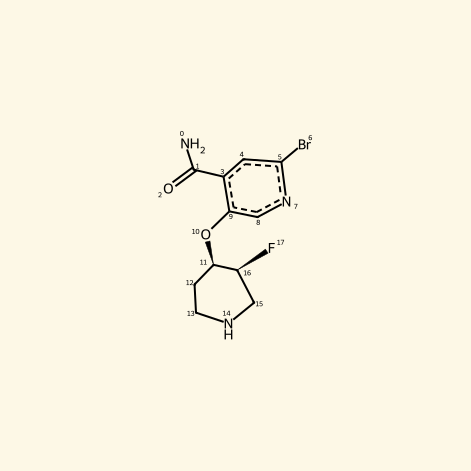 NC(=O)c1cc(Br)ncc1O[C@@H]1CCNC[C@@H]1F